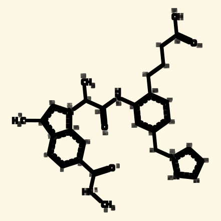 CNC(=O)c1ccc2c(C)cn(C(C)C(=O)Nc3cc(Cn4cccn4)ccc3CCCC(=O)O)c2c1